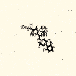 CC(CC(O)C(CN1CC(=O)N(c2c(F)cccc2F)CC1(C)C)NC(=O)OC(C)(C)C)C(=O)NCC(C)(C)C